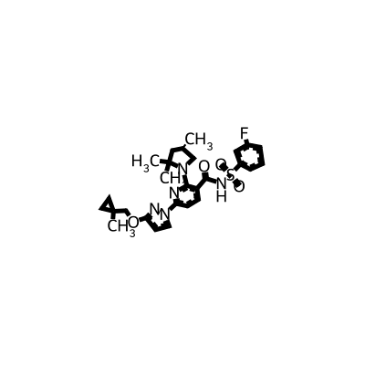 C[C@@H]1CN(c2nc(-n3ccc(OCC4(C)CC4)n3)ccc2C(=O)NS(=O)(=O)c2cccc(F)c2)C(C)(C)C1